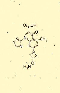 Cc1cc(N2CC(ON)C2)nc2c1c(=O)c(C(=O)O)cn2-c1ncns1